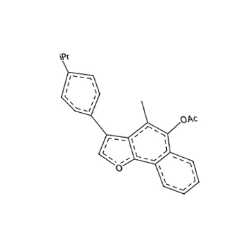 CC(=O)Oc1c(C)c2c(-c3ccc(C(C)C)cc3)coc2c2ccccc12